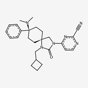 CN(C)[C@]1(c2ccccc2)CC[C@@]2(CC1)CN(c1ccnc(C#N)n1)C(=O)N2CC1CCC1